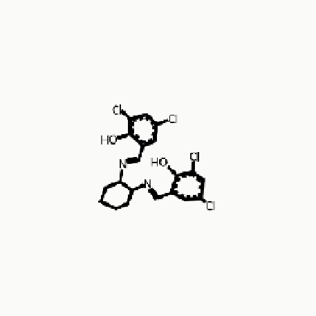 Oc1c(Cl)cc(Cl)cc1C=NC1CCCCC1/N=C/c1cc(Cl)cc(Cl)c1O